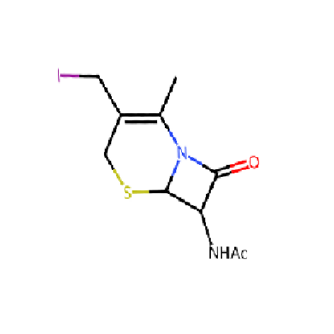 CC(=O)NC1C(=O)N2C(C)=C(CI)CSC12